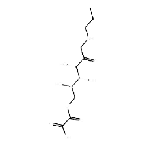 CCCNCC(=O)[C@@H](O)[C@H](O)[C@H](O)COC(=O)C(=O)O